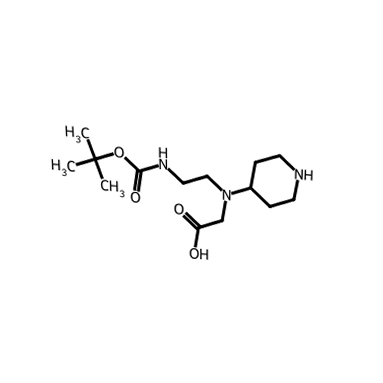 CC(C)(C)OC(=O)NCCN(CC(=O)O)C1CCNCC1